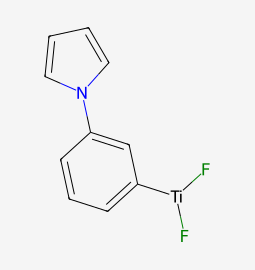 [F][Ti]([F])[c]1cccc(-n2cccc2)c1